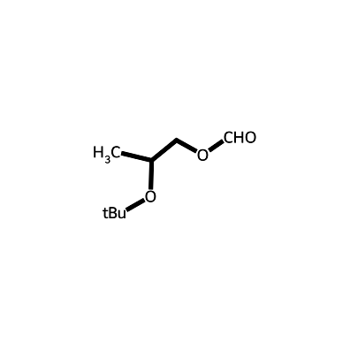 CC(COC=O)OC(C)(C)C